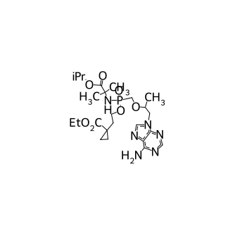 CCOC(=O)C1(CCOP(=O)(COC(C)Cn2cnc3c(N)ncnc32)NC(C)(C)C(=O)OC(C)C)CC1